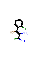 N=C(Cl)/C(N)=C(\S)c1ccccc1Cl